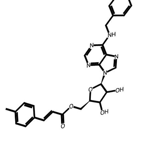 Cc1ccc(/C=C/C(=O)OC[C@H]2O[C@@H](n3cnc4c(NCc5ccc6c(c5)OCO6)ncnc43)C(O)C2O)cc1